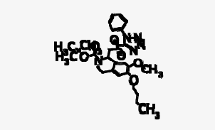 CCCCOc1cc2c(cc1OC)C(CS(=O)(=O)c1nnnn1-c1ccccc1)N(C(=O)OC(C)(C)C)CC2